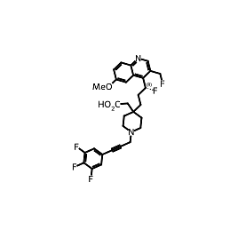 COc1ccc2ncc(CF)c([C@H](F)CCC3(CC(=O)O)CCN(CC#Cc4cc(F)c(F)c(F)c4)CC3)c2c1